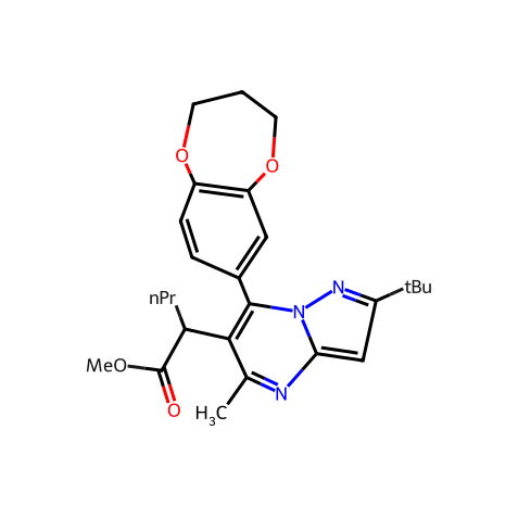 CCCC(C(=O)OC)c1c(C)nc2cc(C(C)(C)C)nn2c1-c1ccc2c(c1)OCCCO2